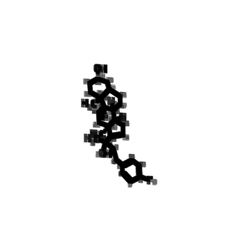 CC(O)(CCc1ccc(F)cc1)C1=CC[C@H]2[C@H]3CCC4C[C@@H](O)CC[C@@]4(C)[C@H]3CC[C@]12C